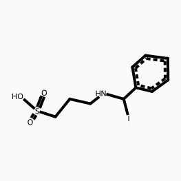 O=S(=O)(O)CCCNC(I)c1ccccc1